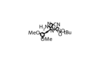 COc1cc(C#Cc2nn(C3CCN(C(=O)OC(C)(C)C)C3)c3c(C#N)cnc(N)c23)cc(OC)c1